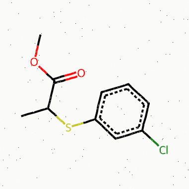 COC(=O)C(C)Sc1cccc(Cl)c1